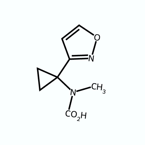 CN(C(=O)O)C1(c2ccon2)CC1